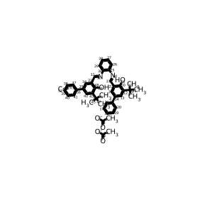 CC(=O)[O-].CC(=O)[O-].CC(C)(C)c1cc(-c2ccccc2)cc(C=Nc2ccccc2N=Cc2cc(-c3ccccc3)cc(C(C)(C)C)c2O)c1O.[Co+2]